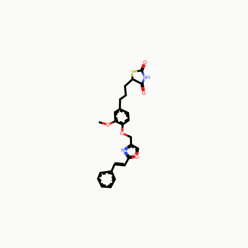 COc1cc(CCCC2SC(=O)NC2=O)ccc1OCc1coc(C=Cc2ccccc2)n1